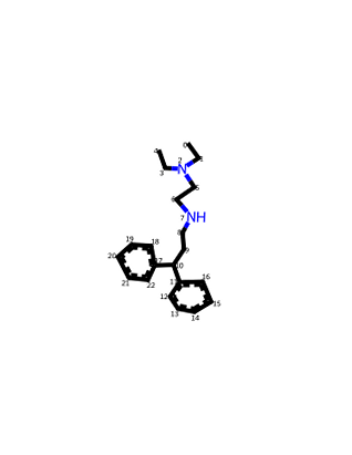 CCN(CC)CCNCCC(c1ccccc1)c1ccccc1